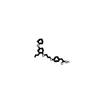 CCCc1cc(Oc2ccccc2)ccc1OCCCOc1ccc(CC(=O)O)cc1